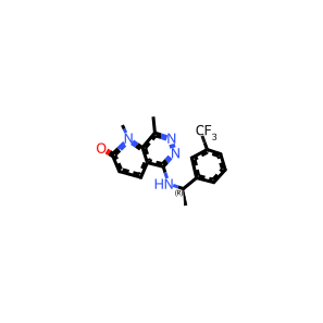 Cc1nnc(N[C@H](C)c2cccc(C(F)(F)F)c2)c2ccc(=O)n(C)c12